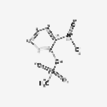 CS(=O)(=O)Oc1c[c]ccc1[N+](=O)[O-]